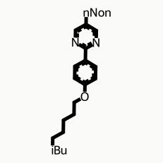 CCCCCCCCCc1cnc(-c2ccc(OCCCCCC(C)CC)cc2)nc1